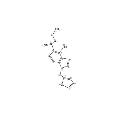 CCOC(=O)c1cnc2c(cnn2Cc2ccco2)c1O